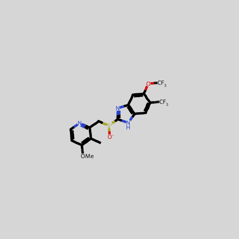 COc1ccnc(C[S+]([O-])c2nc3cc(OC(F)(F)F)c(C(F)(F)F)cc3[nH]2)c1C